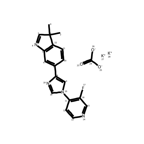 CC1(C)C=Nc2cc(-c3cn(-c4ccncc4F)cn3)ccc21.O=C([O-])[O-].[K+].[K+]